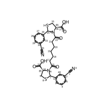 N#Cc1cccc(C2SC[C@@H](C(=O)O)N2C(=O)CCCCCC(=O)N2C(c3cccc(C#N)c3)SC[C@H]2C(=O)O)c1